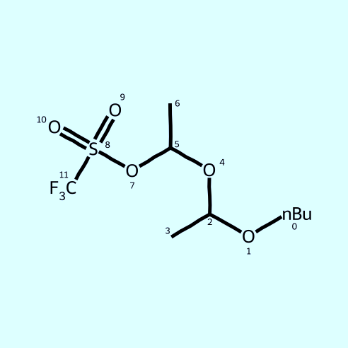 CCCCOC(C)OC(C)OS(=O)(=O)C(F)(F)F